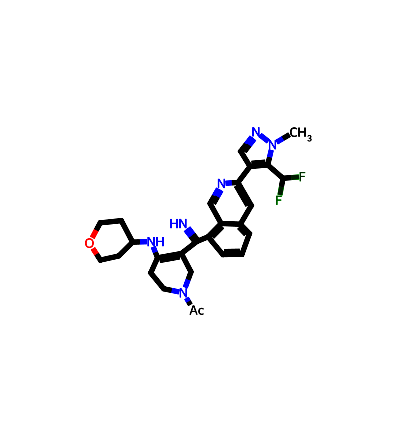 CC(=O)N1CCC(NC2CCOCC2)=C(C(=N)c2cccc3cc(-c4cnn(C)c4C(F)F)ncc23)C1